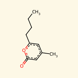 CCCCc1cc(C)cc(=O)o1